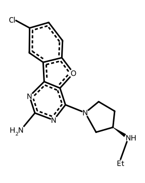 CCN[C@@H]1CCN(c2nc(N)nc3c2oc2ccc(Cl)cc23)C1